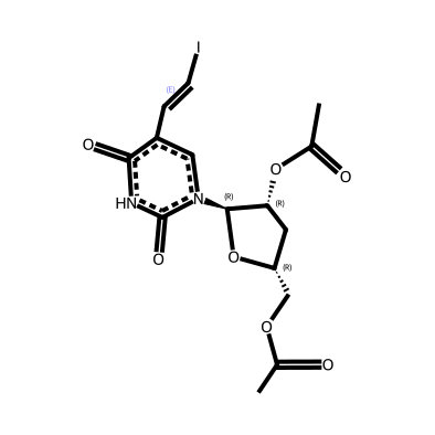 CC(=O)OC[C@H]1C[C@@H](OC(C)=O)[C@H](n2cc(/C=C/I)c(=O)[nH]c2=O)O1